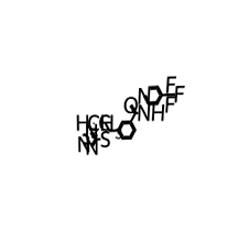 CC(Sc1nncn1C)c1cccc(C(=O)Nc2cc(C(F)(F)F)ccn2)c1